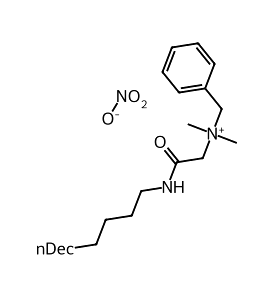 CCCCCCCCCCCCCCNC(=O)C[N+](C)(C)Cc1ccccc1.O=[N+]([O-])[O-]